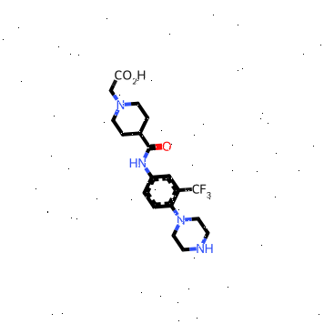 O=C(O)CN1CCC(C(=O)Nc2ccc(N3CCNCC3)c(C(F)(F)F)c2)CC1